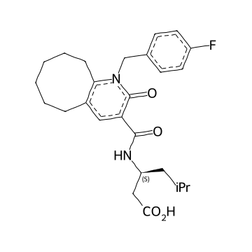 CC(C)C[C@@H](CC(=O)O)NC(=O)c1cc2c(n(Cc3ccc(F)cc3)c1=O)CCCCCC2